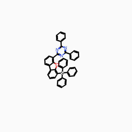 c1ccc(-c2nc(-c3ccccc3)nc(-c3cccc4c3oc3c([Si](c5ccccc5)(c5ccccc5)c5ccccc5)cccc34)n2)cc1